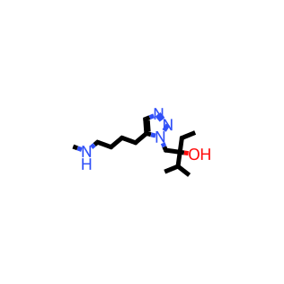 CCC(O)(Cn1nncc1CCCCNC)C(C)C